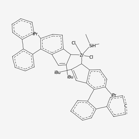 CCC(C)C1=Cc2c(ccc(C(C)C)c2-c2ccccc2-c2ccccc2)[CH]1[Zr]([Cl])([Cl])([CH]1C(C(C)CC)=Cc2c1ccc(C(C)C)c2-c1ccccc1-c1ccccc1)[SiH](C)C